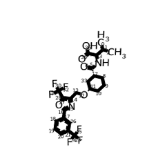 CC(C)C(NC(=O)[C@@H]1CCC[C@H](OCc2nc(-c3cccc(C(F)(F)F)c3)oc2C(F)(F)F)C1)C(=O)O